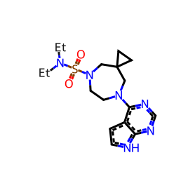 CCN(CC)S(=O)(=O)N1CCN(c2ncnc3[nH]ccc23)CC2(CC2)C1